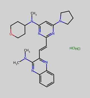 CN(C)c1nc2ccccc2nc1C=Cc1nc(N2CCCC2)cc(N(C)C2CCOCC2)n1.Cl.Cl